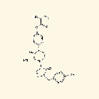 Cc1ccc(CN2CCC(N3CC[C@@H](c4ccc(OC(=O)C(C)N)cc4)[C@H](F)C3)C2=O)cc1.Cl